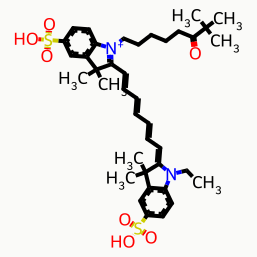 CCN1/C(=C/C=C/C=C/C=C/C2=[N+](CCCCCC(=O)C(C)(C)C)c3ccc(S(=O)(=O)O)cc3C2(C)C)C(C)(C)c2cc(S(=O)(=O)O)ccc21